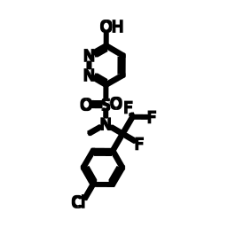 CN(C(F)(c1ccc(Cl)cc1)C(F)F)S(=O)(=O)c1ccc(O)nn1